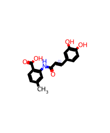 Cc1ccc(C(=O)O)c(NC(=O)/C=C/c2ccc(O)c(O)c2)c1